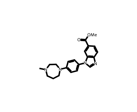 COC(=O)c1ccc2ncn(-c3ccc(N4CCCN(C)CC4)cc3)c2c1